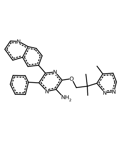 Cc1ccnnc1C(C)(C)COc1nc(-c2ccc3ncccc3c2)c(-c2ccccc2)nc1N